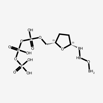 BOBB[C@H]1CC[C@@H](COP(=O)(O)OP(=O)(O)OP(=O)(O)O)O1